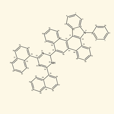 c1ccc(-n2c3ccccc3c3c4c5ccccc5c(C5N=C(c6cccc7ccccc67)N=C(c6cccc7ccccc67)N5)cc4c4ccccc4c32)cc1